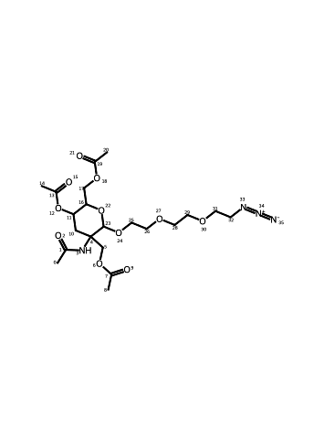 CC(=O)NC1(COC(C)=O)CC(OC(C)=O)C(COC(C)=O)OC1OCCOCCOCCN=[N+]=[N-]